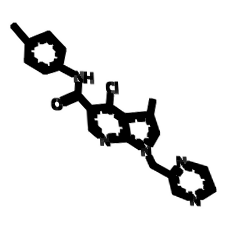 Cc1ccc(NC(=O)c2cnc3c(c(C)cn3Cc3cnccn3)c2Cl)cc1